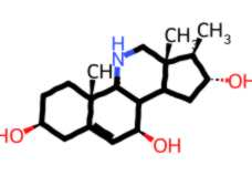 C[C@H]1[C@H](O)CC2C3C(NC[C@@]21C)[C@@]1(C)CC[C@H](O)CC1=C[C@@H]3O